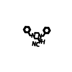 [2H]C(C#N)C1CN(Cc2ccccc2)CCN1Cc1ccccc1